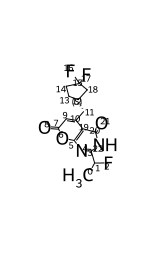 CC(F)c1nc2oc(=O)cc(C[C@@H]3CCC(F)(F)C3)c2c(=O)[nH]1